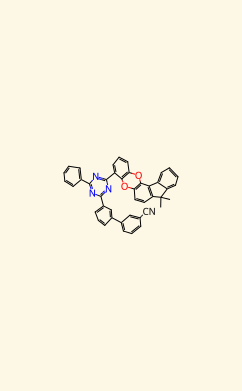 CC1(C)c2ccccc2-c2c1ccc1c2Oc2cccc(-c3nc(-c4ccccc4)nc(-c4cccc(-c5cccc(C#N)c5)c4)n3)c2O1